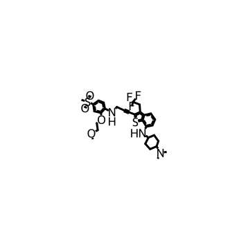 COCCOc1cc(S(C)(=O)=O)ccc1NCC#Cc1sc2c(NC3CCC(N(C)C)CC3)cccc2c1CC(F)(F)F